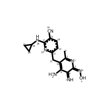 CC1=N/C(=N/O)C(=N)C(N)=C1Cc1ccc(C#N)c(NC2CC2)n1